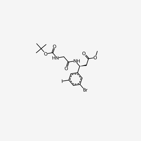 COC(=O)C[C@H](NC(=O)CNC(=O)OC(C)(C)C)c1cc(Br)cc(I)c1